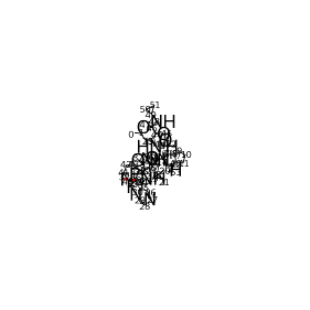 CCC[C@H](NC(=O)[C@@H]1[C@H]2CCC[C@H]2CN1C(=O)[C@@H](C(C)(C)C)[C@](N[C@H](c1cnccn1)C(F)(F)F)(C(N)=O)C1CCCCC1)C(=O)C(=O)NC1CC1